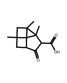 CC12CC3C(=O)C(C(=O)O)C4(C)C(C)(C1)C324